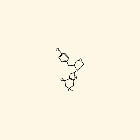 CC1(C)CC(=O)c2sc(N3CCOCC3Cc3ccc(Cl)cc3)nc2C1